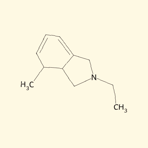 CCN1CC2=CC=CC(C)C2C1